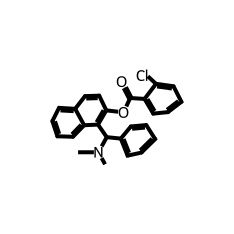 CN(C)C(c1ccccc1)c1c(OC(=O)c2ccccc2Cl)ccc2ccccc12